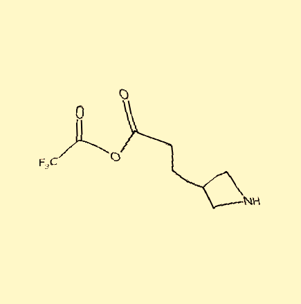 O=C(CCC1CNC1)OC(=O)C(F)(F)F